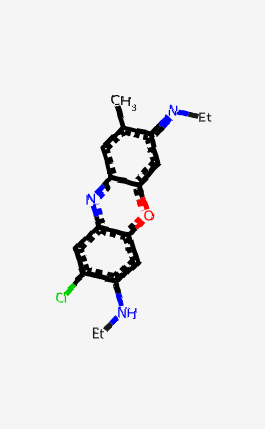 CCN=c1cc2oc3cc(NCC)c(Cl)cc3nc-2cc1C